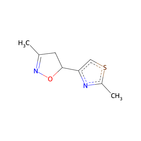 CC1=NOC(c2csc(C)n2)C1